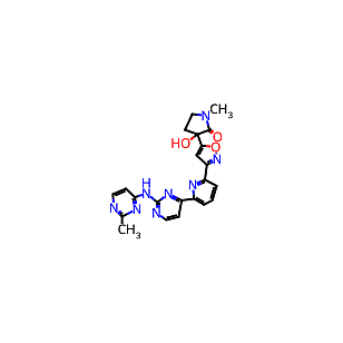 Cc1nccc(Nc2nccc(-c3cccc(-c4cc(C5(O)CCN(C)C5=O)on4)n3)n2)n1